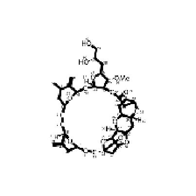 C=C1C(C)CC2CC[C@@H]3OC(CC[C@@]45CC6OC7C(O4)[C@H]4OC(CCC4O[C@H]7C6O5)CC(=O)CC4[C@@H](OC)C(C[C@H](O)CO)O[C@H]4CC1O2)CC3=C